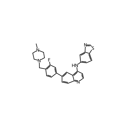 CN1CCN(Cc2ccc(-c3ccc4nccc(Nc5ccc6scnc6c5)c4c3)cc2F)CC1